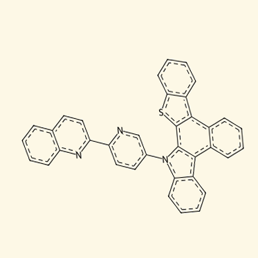 c1ccc2nc(-c3ccc(-n4c5ccccc5c5c6ccccc6c6c7ccccc7sc6c54)cn3)ccc2c1